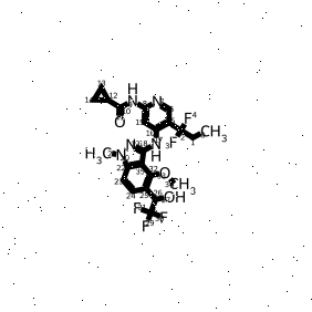 CCC(F)(F)c1cnc(NC(=O)C2CC2)cc1Nc1nn(C)c2ccc(C(O)C(F)(F)F)c(OC)c12